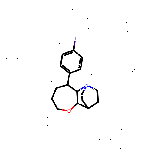 Ic1ccc(C2CCCOC3C4CCN(CC4)C23)cc1